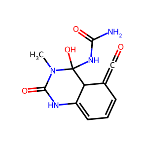 CN1C(=O)NC2=CC=CC(=C=O)C2C1(O)NC(N)=O